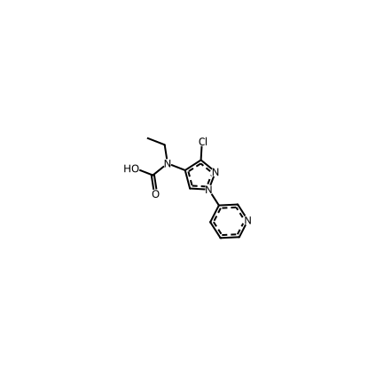 CCN(C(=O)O)c1cn(-c2cccnc2)nc1Cl